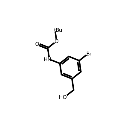 CC(C)(C)OC(=O)Nc1cc(Br)cc(CO)c1